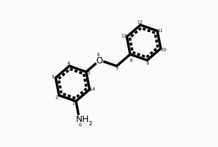 Nc1c[c]cc(OCc2ccccc2)c1